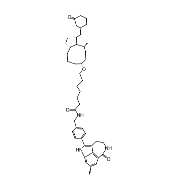 CC[C@H]1CCC[C@@H](OCCCCCCC(=O)NCc2ccc(-c3[nH]c4cc(F)cc5c4c3CCNC5=O)cc2)CC[C@H](C)[C@@H]1CC[C@@H]1CCCC(=O)C1